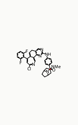 CNC1CC2CCC(C1)N2C(=O)c1ccc(Nc2ncc3c(n2)C2=CN=C(Cl)C=C(c4c(F)cccc4F)C2=CC3)cc1